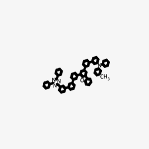 Cc1cccc(N(c2ccccc2)c2cccc(-c3cccc(-c4cc(-c5cccc(-c6cccc(-c7cccc(-c8nc(-c9ccccc9)nc(-c9ccccc9)n8)c7)c6)c5)c5oc6ccccc6c5c4)c3)c2)c1